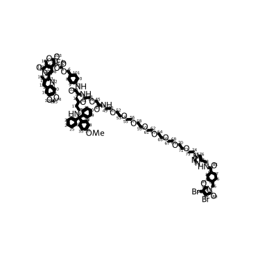 CC[C@@]1(OC(=O)OCc2ccc(NC(=O)[C@H](CCCCNC(c3ccccc3)(c3ccccc3)c3ccc(OC)cc3)NC(=O)COCC(=O)NCCOCCOCCOCCOCCOCCOCCOCCOCCn3cc(CNC(=O)C4CCC(CN5C(=O)C(Br)=C(Br)C5=O)CC4)nn3)cc2)C(=O)OCc2c1cc1n(c2=O)Cc2cc3cc4c(cc3nc2-1)OCO4